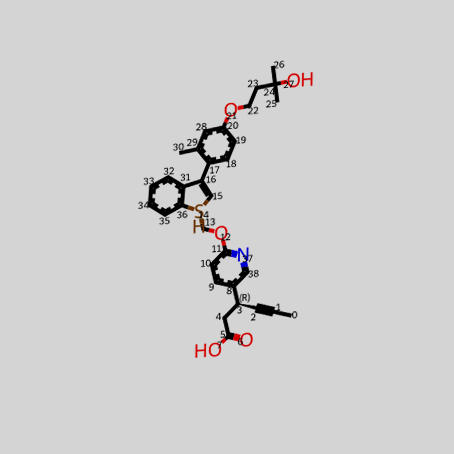 CC#C[C@@H](CC(=O)O)c1ccc(OC[SH]2C=C(c3ccc(OCCC(C)(C)O)cc3C)c3ccccc32)nc1